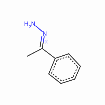 C/C(=N\N)c1ccccc1